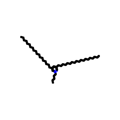 CCCCCCCCCCCCCCCCCCCc1cc(CCCCCCCCCCCCCCCCCCC)c[n+](CCCCC)c1